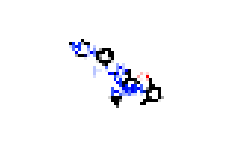 Cc1cccc(C)c1NC(=O)c1cnc(Nc2cccc(N3CCN(C)CC3)c2)nc1NC1CC1